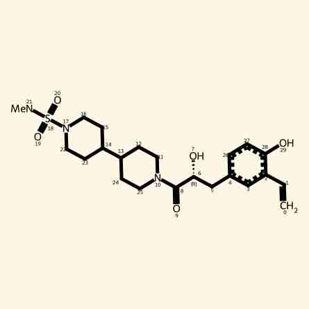 C=Cc1cc(C[C@@H](O)C(=O)N2CCC(C3CCN(S(=O)(=O)NC)CC3)CC2)ccc1O